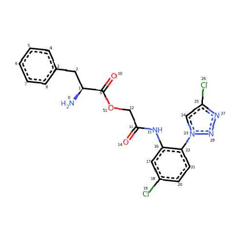 N[C@@H](Cc1ccccc1)C(=O)OCC(=O)Nc1cc(Cl)ccc1-n1cc(Cl)nn1